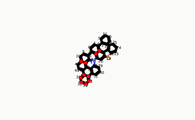 c1ccc(-c2ccc(-c3ccccc3N(c3ccc4c(c3)sc3ccccc34)c3cccc(-c4ccccc4)c3-c3ccccc3-c3ccccc3)cc2)cc1